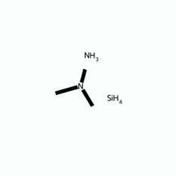 CN(C)C.N.[SiH4]